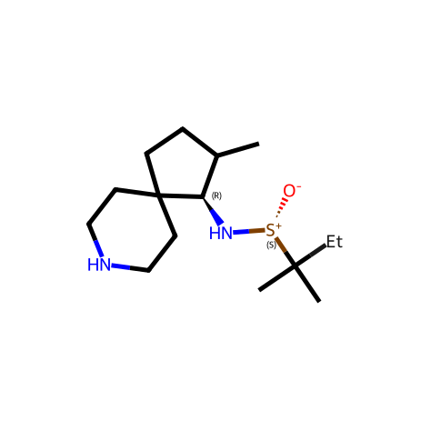 CCC(C)(C)[S@@+]([O-])N[C@@H]1C(C)CCC12CCNCC2